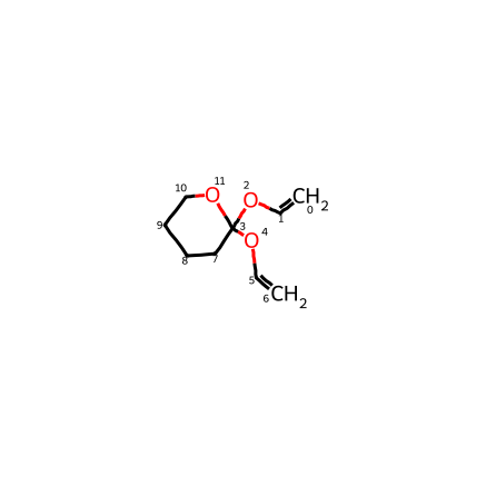 C=COC1(OC=C)CCCCO1